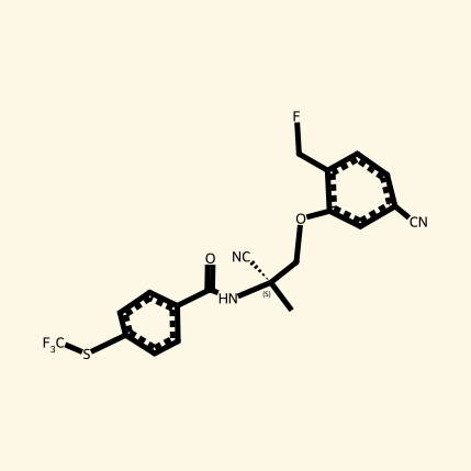 C[C@](C#N)(COc1cc(C#N)ccc1CF)NC(=O)c1ccc(SC(F)(F)F)cc1